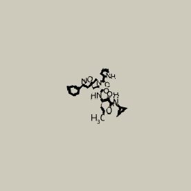 CCC[C@H](NC(=O)[C@@H]1C[C@@]2(CC(c3ccccc3)=NO2)CN1C(=O)c1ccc[nH]1)C(=O)C(=O)NC1CC1